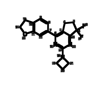 FC1(F)CCc2c(-c3ccc4c(c3)OCC4)nc(N3CCC3)nc21